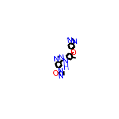 Cc1cc(Nc2ncnc3ccc(N4CCN(C)C4=O)cc23)ccc1Oc1ccc2c(c1)ncn2C